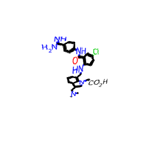 CN(C)Cc1cn(CC(=O)O)c2c(CNc3ccc(Cl)cc3C(=O)Nc3ccc(C(=N)N)cc3)cccc12